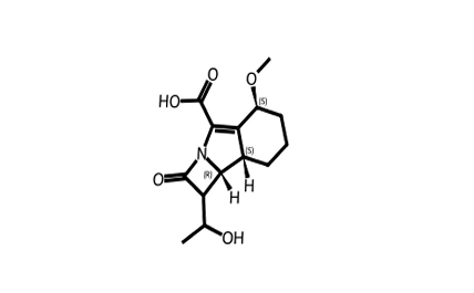 CO[C@H]1CCC[C@H]2C1=C(C(=O)O)N1C(=O)C(C(C)O)[C@@H]21